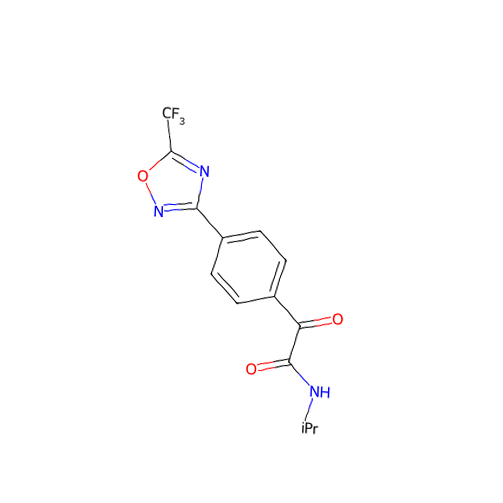 CC(C)NC(=O)C(=O)c1ccc(-c2noc(C(F)(F)F)n2)cc1